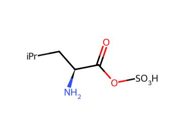 CC(C)C[C@H](N)C(=O)OS(=O)(=O)O